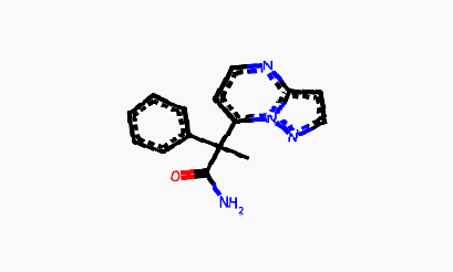 CC(C(N)=O)(c1ccccc1)c1ccnc2ccnn12